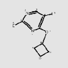 Clc1ncc(I)c(OC2CCC2)n1